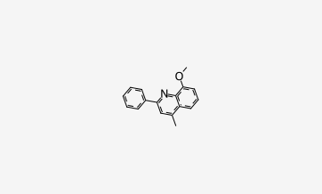 COc1cccc2c(C)cc(-c3ccccc3)nc12